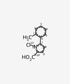 Cc1ccccc1-c1ccc(C(=O)O)n1Cl